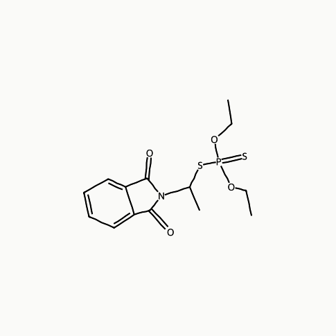 CCOP(=S)(OCC)SC(C)N1C(=O)c2ccccc2C1=O